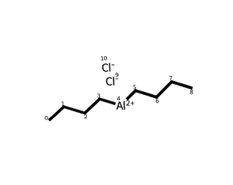 CCC[CH2][Al+2][CH2]CCC.[Cl-].[Cl-]